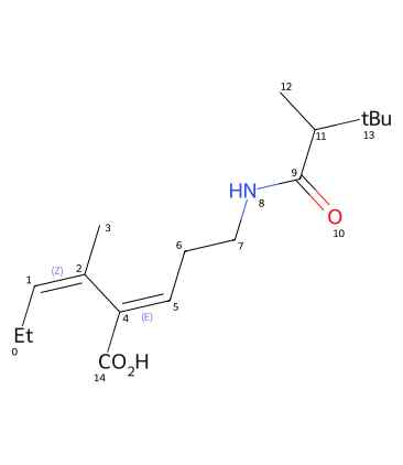 CC/C=C(C)\C(=C/CCNC(=O)C(C)C(C)(C)C)C(=O)O